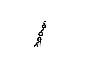 CCCCC[Si@H]1CC[C@H](c2ccc(CCc3ccc(Cl)cc3)cc2)CC1